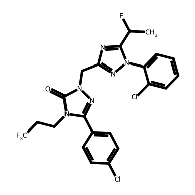 CC(F)c1nc(Cn2nc(-c3ccc(Cl)cc3)n(CCC(F)(F)F)c2=O)nn1-c1ccccc1Cl